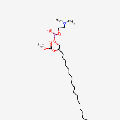 CCCCCCCCCCCCCCCCCC(COP(O)OCCN(C)C)OC(=O)OC